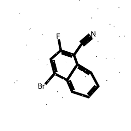 N#Cc1c(F)cc(Br)c2ccccc12